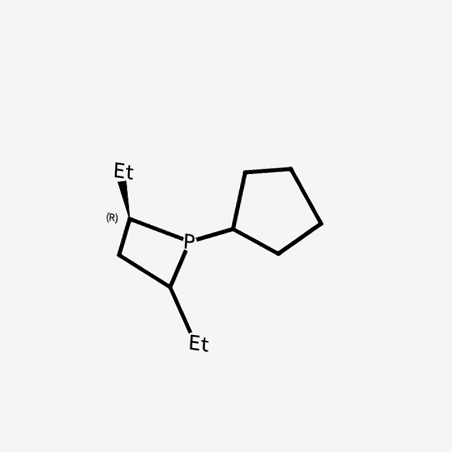 CCC1C[C@@H](CC)P1C1CCCC1